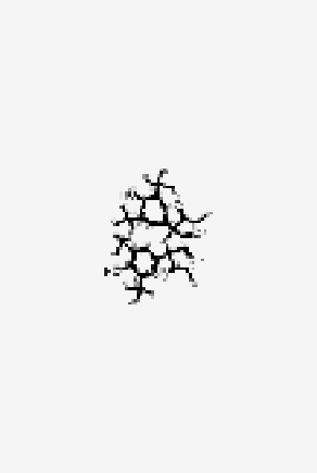 CCC(=O)C(C=O)(SC(C=O)(C(=O)CC)c1cc(C(C)(C)C)c(O)c(C(C)(C)C)c1)c1cc(C(C)(C)C)c(O)c(C(C)(C)C)c1